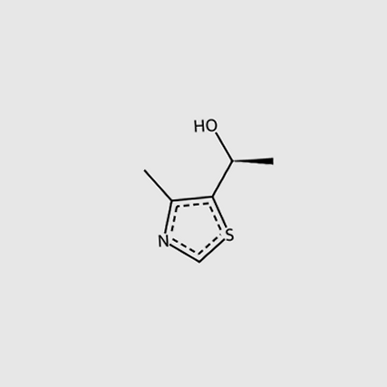 Cc1ncsc1[C@H](C)O